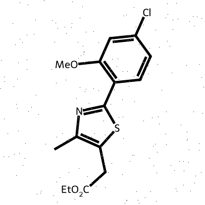 CCOC(=O)Cc1sc(-c2ccc(Cl)cc2OC)nc1C